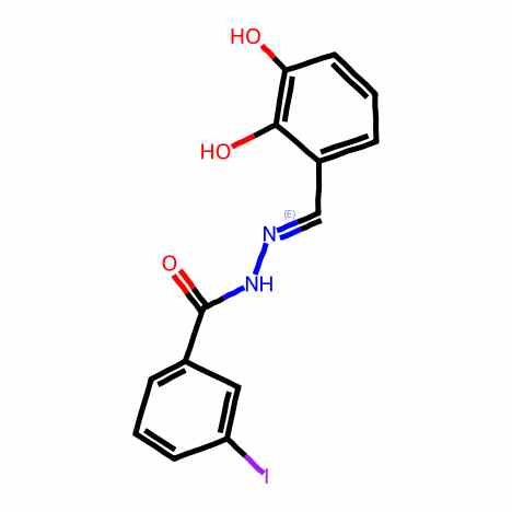 O=C(N/N=C/c1cccc(O)c1O)c1cccc(I)c1